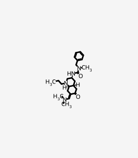 CCCN1C[C@@H](NC(=O)N(C)Cc2ccccc2)C[C@@H]2CC(=O)C(=CN(C)C)C[C@H]21